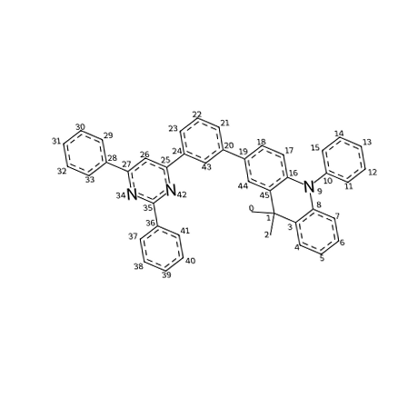 CC1(C)c2ccccc2N(c2ccccc2)c2ccc(-c3cccc(-c4cc(-c5ccccc5)nc(-c5ccccc5)n4)c3)cc21